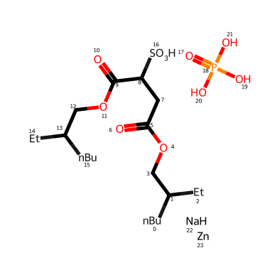 CCCCC(CC)COC(=O)CC(C(=O)OCC(CC)CCCC)S(=O)(=O)O.O=P(O)(O)O.[NaH].[Zn]